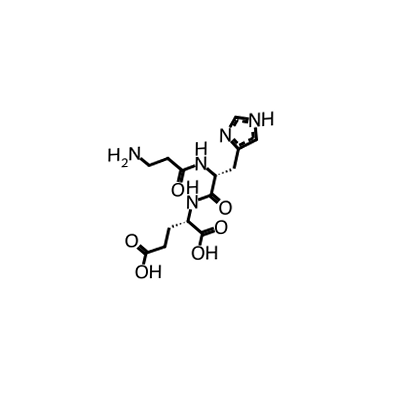 NCCC(=O)N[C@H](Cc1c[nH]cn1)C(=O)N[C@@H](CCC(=O)O)C(=O)O